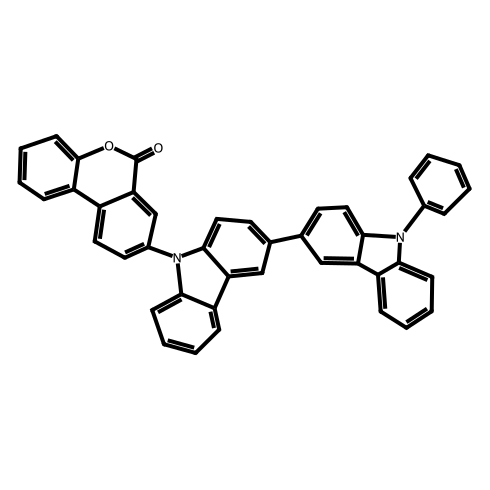 O=c1oc2ccccc2c2ccc(-n3c4ccccc4c4cc(-c5ccc6c(c5)c5ccccc5n6-c5ccccc5)ccc43)cc12